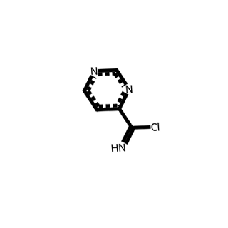 N=C(Cl)c1ccncn1